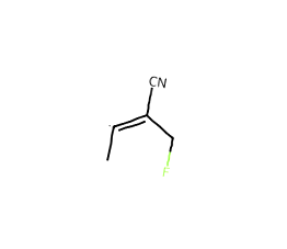 C[C]=C(C#N)CF